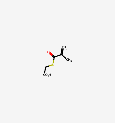 C=C(C)C(=O)SCC(=O)O